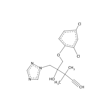 C#CC(C)(C)C(O)(COc1ccc(Cl)cc1Cl)Cn1cncn1